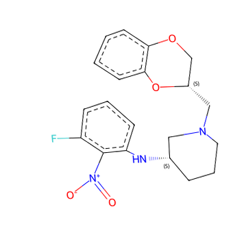 O=[N+]([O-])c1c(F)cccc1N[C@H]1CCCN(C[C@H]2COc3ccccc3O2)C1